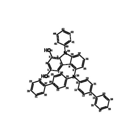 Oc1cc(O)c2c(c1)c1c(N(c3ccc(-c4ccccc4)cc3)c3ccc(-c4ccccc4)cc3)cccc1n2-c1ccccc1